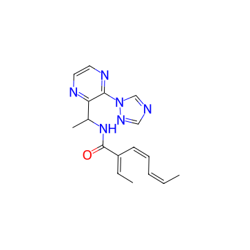 C\C=C/C=C\C(=C/C)C(=O)NC(C)c1nccnc1-n1cncn1